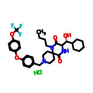 CCCCN1C(=O)[C@@H]([C@H](O)C2CCCCC2)NC(=O)C12CCN(Cc1ccc(Oc3ccc(OC(F)(F)F)cc3)cc1)CC2.Cl